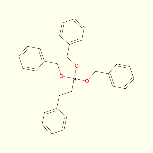 c1ccc(CC[Si](OCc2ccccc2)(OCc2ccccc2)OCc2ccccc2)cc1